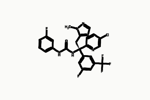 Cn1ncnc1C[C@@](NC(=O)Nc1cccc(F)c1)(c1cc(F)cc(C(F)(F)F)c1)c1ccc(Cl)cn1